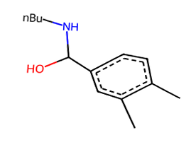 CCCCNC(O)c1ccc(C)c(C)c1